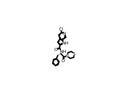 O=C(N[C@@H](Cc1ccccc1)C(=O)N1CCSCC1)c1cc2cc(Cl)ncc2[nH]1